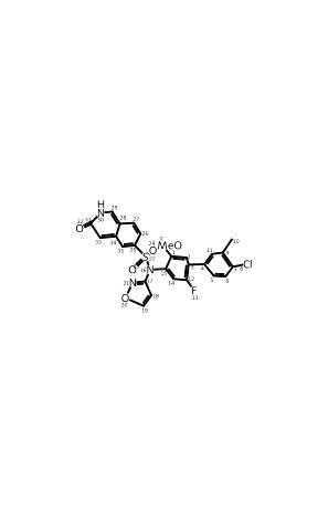 COc1cc(-c2ccc(Cl)c(C)c2)c(F)cc1N(c1ccon1)S(=O)(=O)c1ccc2c[nH]c(=O)cc2c1